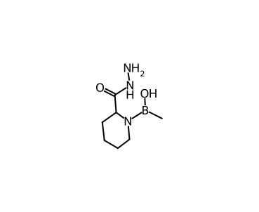 CB(O)N1CCCCC1C(=O)NN